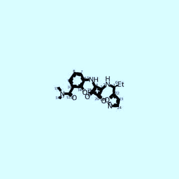 CC[C@H](Nc1c(Nc2cccc(C(=O)N(C)C)c2O)c(=O)c1=O)c1ccno1